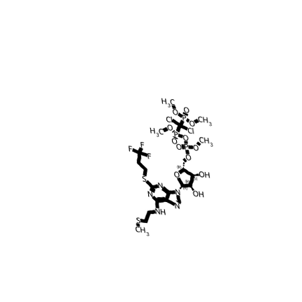 COP(=O)(OC[C@H]1O[C@@H](n2cnc3c(NCCSC)nc(SCCC(F)(F)F)nc32)[C@H](O)[C@@H]1O)OP(=O)(OC)C(Cl)(Cl)P(=O)(OC)OC